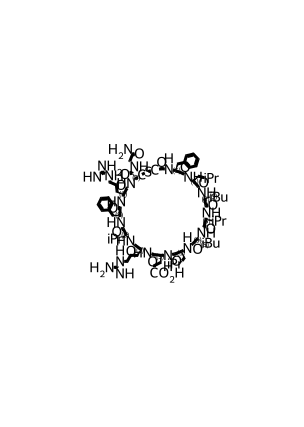 CC[C@H](C)[C@@H]1NC(=O)[C@H](CC(C)C)NC(=O)[C@H](Cc2ccccc2)NC(=O)CSC[C@@H](C(=O)NCC(N)=O)NC(=O)[C@H](CCCNC(=N)N)NC(=O)[C@H](Cc2ccccc2)NC(=O)[C@H](C(C)C)NC(=O)[C@H](CCCNC(=N)N)NC(=O)[C@H](CCC(=O)O)NC(=O)[C@H](CC(C)C)NC(=O)[C@H]([C@@H](C)CC)NC(=O)[C@H](C(C)C)NC1=O